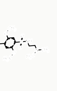 COc1cc(S(=O)(=O)NCCN(C)C)c(OC)cc1Br